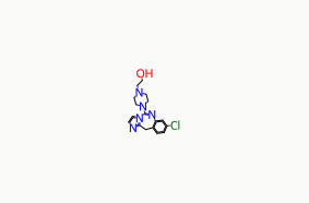 OCCN1CCN(C2=Nc3cc(Cl)ccc3Cc3nccn32)CC1